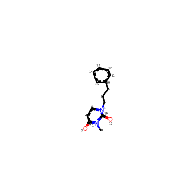 Cn1c(=O)ccn(CCCc2ccccc2)c1=O